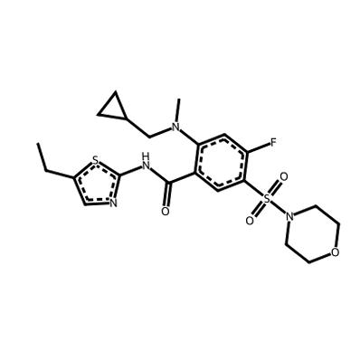 CCc1cnc(NC(=O)c2cc(S(=O)(=O)N3CCOCC3)c(F)cc2N(C)CC2CC2)s1